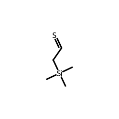 C[Si](C)(C)CC=S